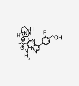 CS(=O)(=O)c1c([C@@H]2C[C@H]3CC[C@@H](C2)N3)nc2c(-c3ccc(CO)c(F)c3)cnn2c1N